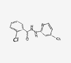 O=C(NNc1cc(Cl)ccn1)c1ccccc1Cl